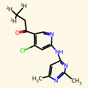 [2H]C([2H])([2H])CC(=O)c1cnc(Nc2cc(C)nc(C)n2)cc1Cl